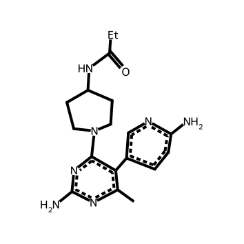 CCC(=O)NC1CCN(c2nc(N)nc(C)c2-c2ccc(N)nc2)CC1